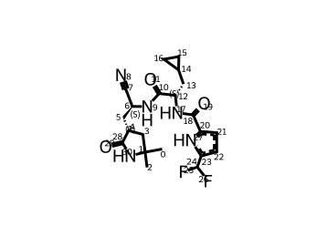 CC1(C)C[C@@H](C[C@@H](C#N)NC(=O)[C@H](CC2CC2)NC(=O)c2ccc(C(F)F)[nH]2)C(=O)N1